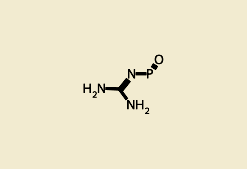 NC(N)=NP=O